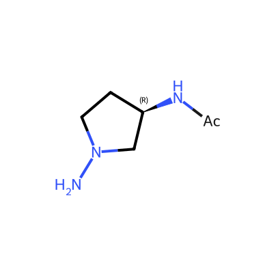 CC(=O)N[C@@H]1CCN(N)C1